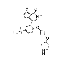 Cn1cc(-c2cc(C(C)(C)O)ccc2OC2CC(OC3CCNCC3)C2)c2cc[nH]c2c1=O